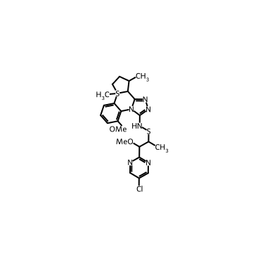 COc1cccc2c1-n1c(NSC(C)C(OC)c3ncc(Cl)cn3)nnc1C1C(C)CCS21C